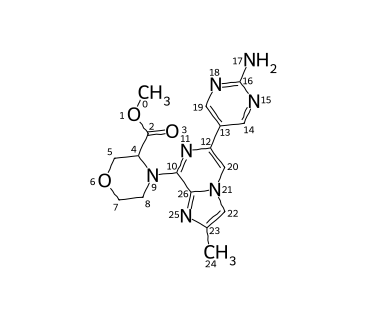 COC(=O)C1COCCN1c1nc(-c2cnc(N)nc2)cn2cc(C)nc12